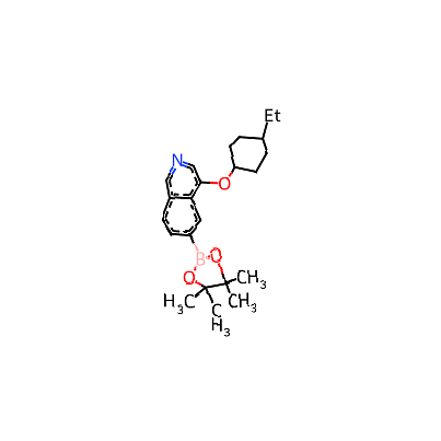 CCC1CCC(Oc2cncc3ccc(B4OC(C)(C)C(C)(C)O4)cc23)CC1